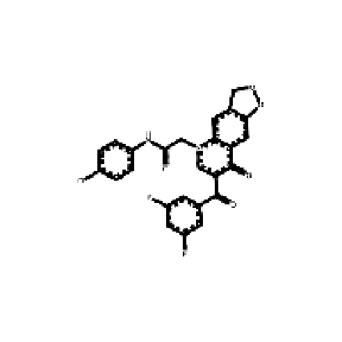 O=C(Cn1cc(C(=O)c2cc(F)cc(F)c2)c(=O)c2cc3c(cc21)COO3)Nc1ccc(Cl)cc1